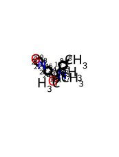 CCC(CC1C=CC(C)=CC1)(C(=O)c1ccc(N2CCOCC2)cc1)N(C)C